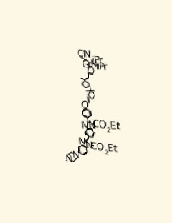 CCOC(=O)n1c(-c2ccc(OCCOC(C)(C)COC(C)CCOP(OCCC#N)N(C(C)C)C(C)C)cc2)nc2cc(-c3nc4cc(N5CCN(C)CC5)ccc4n3C(=O)OCC)ccc21